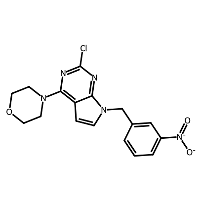 O=[N+]([O-])c1cccc(Cn2ccc3c(N4CCOCC4)nc(Cl)nc32)c1